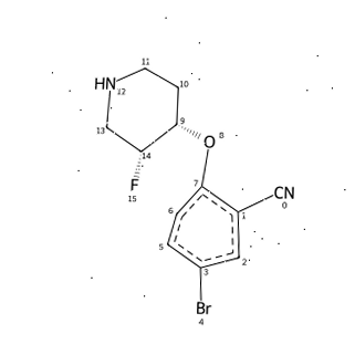 N#Cc1cc(Br)ccc1O[C@H]1CCNC[C@H]1F